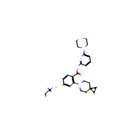 CC(C)(CN=O)NSc1ccc(C(=O)Nc2cccc(N3CCOCC3)n2)c(N2CCC3(CC2)CC3)c1